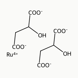 O=C([O-])CC(O)C(=O)[O-].O=C([O-])CC(O)C(=O)[O-].[Ru+4]